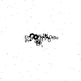 CCC1CCc2cc(N=Nc3nnc(C(=O)OC(C)(C)C)s3)c(NS(=O)(=O)C(F)(F)F)cc2N1CC(C)C